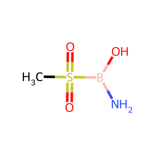 CS(=O)(=O)B(N)O